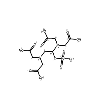 O=C(O)CN(CC(=O)O)CC([O][W](=[O])(=[O])[OH])N(CC(=O)O)CC(=O)O